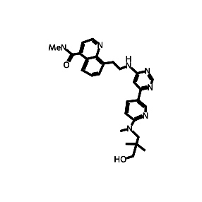 CNC(=O)c1ccnc2c(CCNc3cc(-c4ccc(N(C)CC(C)(C)CO)nc4)ncn3)cccc12